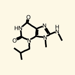 CNc1nc2c(=O)[nH]c(=O)n(CC(C)C)c2n1C